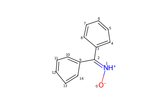 [O-][NH+]=C(c1ccccc1)c1ccccc1